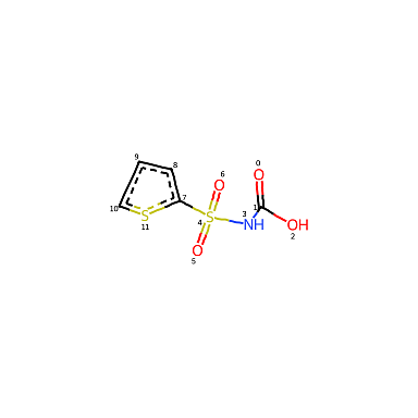 O=C(O)NS(=O)(=O)c1cccs1